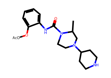 CC(=O)OOc1ccccc1NC(=O)N1CCN(C2CCNCC2)CC1C